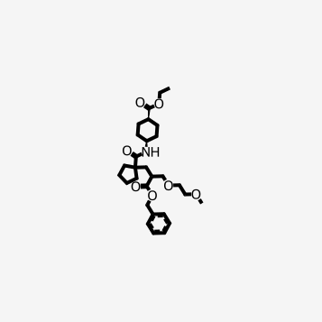 CCOC(=O)[C@H]1CC[C@@H](NC(=O)C2(CC(COCCOC)C(=O)OCc3ccccc3)CCCC2)CC1